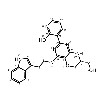 OC[C@@H]1COc2c(NCCc3c[nH]c4ccccc34)nc(-c3cccnc3O)nc2N1